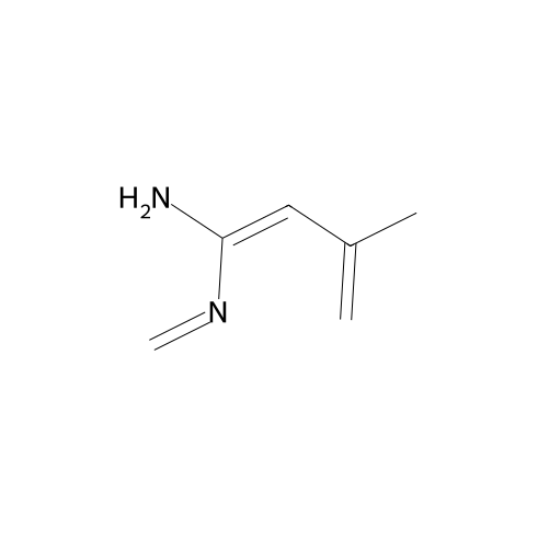 C=N/C(N)=C\C(=C)C